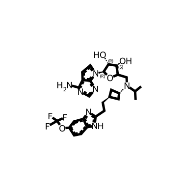 CC(C)N(CC1O[C@@H](n2ccc3c(N)ncnc32)[C@H](O)[C@@H]1O)[C@H]1C[C@H](CCc2nc3cc(OC(F)(F)F)ccc3[nH]2)C1